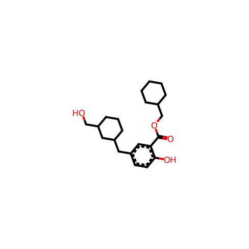 O=C(OCC1CCCCC1)c1cc(CC2CCCC(CO)C2)ccc1O